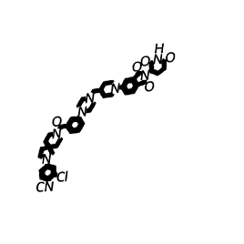 N#Cc1ccc(N2CCC3(CCN(C(=O)c4cccc(N5CCN(CC6CCN(c7ccc8c(c7)C(=O)N(C7CCC(=O)NC7=O)C8=O)CC6)CC5)c4)CC3)C2)cc1Cl